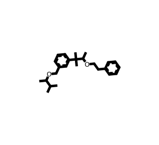 CC(C)C(C)OCc1cccc(C(C)(C)C(C)OCCc2ccccc2)c1